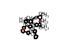 Cc1ccc(-c2ccccc2)cc1N1c2cc(-c3ccccc3)ccc2B2c3cc4c5cc3N(c3ccc(C(C)(C)C)cc3-c3ccc6c(c3)C(C)(C)CCC6(C)CC5(C)CC4(C)C)c3cc(N(c4ccccc4)c4ccccc4)cc1c32